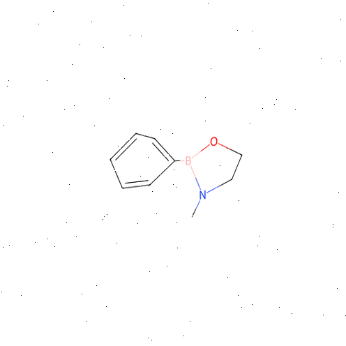 CN1CCOB1c1ccccc1